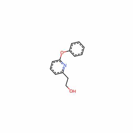 OCCc1cccc(Oc2ccccc2)n1